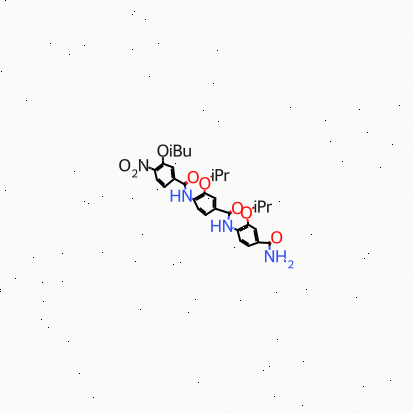 CC(C)COc1cc(C(=O)Nc2ccc(C(=O)Nc3ccc(C(N)=O)cc3OC(C)C)cc2OC(C)C)ccc1[N+](=O)[O-]